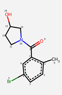 Cc1ccc(Br)cc1C(=O)N1CCC(O)C1